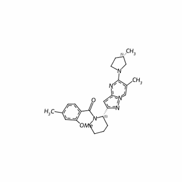 COc1cc(C)ccc1C(=O)N1CCCC[C@H]1c1cc2nc(N3CC[C@H](C)C3)c(C)cn2n1